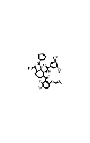 COCOc1ccc(OC)c(F)c1C(=O)C1CCCN(C(=O)O)C(OC(=O)c2ccccc2)C1NC(=O)c1cc(OC)cc(OC)c1